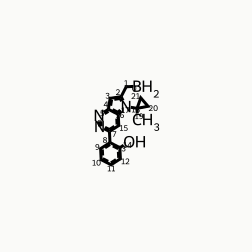 BCc1cc2nnc(-c3ccccc3O)cc2n1C1(C)CC1